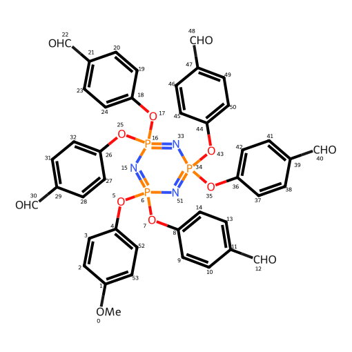 COc1ccc(OP2(Oc3ccc(C=O)cc3)=NP(Oc3ccc(C=O)cc3)(Oc3ccc(C=O)cc3)=NP(Oc3ccc(C=O)cc3)(Oc3ccc(C=O)cc3)=N2)cc1